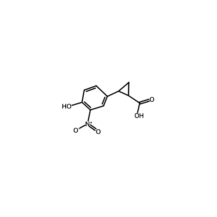 O=C(O)C1CC1c1ccc(O)c([N+](=O)[O-])c1